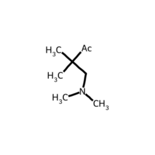 CC(=O)C(C)(C)CN(C)C